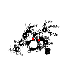 CNCCOc1cc(NC(=O)NC(=O)C[C@@H]2NC(=O)[C@H](NC(=O)[C@H](C)CC(C)C)[C@H](O)c3ccc(c(C)c3)Oc3cc4cc(c3O[C@@H]3O[C@H](CO)[C@@H](O)[C@H](O)[C@H]3O[C@H]3C[C@](C)(N)[C@H](O)[C@H](C)O3)Oc3ccc(cc3Cl)[C@@H](O)[C@@H]3NC(=O)[C@H](NC(=O)[C@@H]4NC2=O)c2ccc(O)c(c2)-c2c(C)cc(O)cc2[C@@H](C(=O)NC2C4CC5CC(C4)CC2C5)NC3=O)cc(OCCNC)c1OCCNC